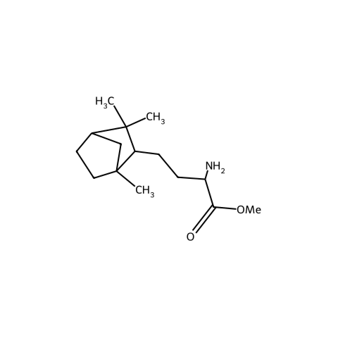 COC(=O)C(N)CCC1C2(C)CCC(C2)C1(C)C